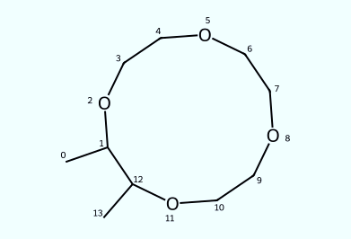 CC1OCCOCCOCCOC1C